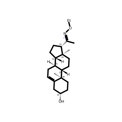 CCO/N=C(\C)[C@H]1CC[C@H]2[C@@H]3CC=C4C[C@@H](O)CC[C@]4(C)[C@H]3CC[C@]12C